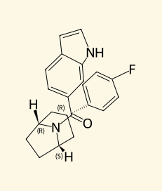 O=C(c1ccc2cc[nH]c2c1)N1[C@@H]2CC[C@H]1C[C@@H](c1ccc(F)cc1)C2